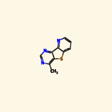 Cc1ncnc2c1sc1cccnc12